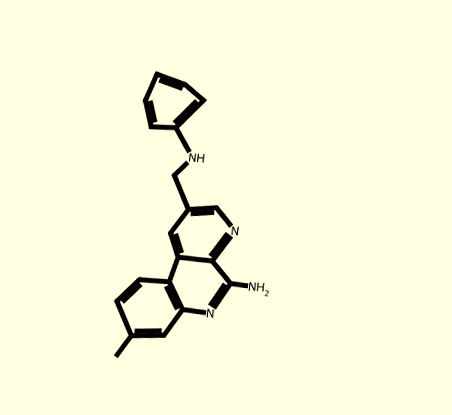 Cc1ccc2c(c1)nc(N)c1ncc(CNc3ccccc3)cc12